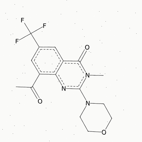 CC(=O)c1cc(C(F)(F)F)cc2c(=O)n(C)c(N3CCOCC3)nc12